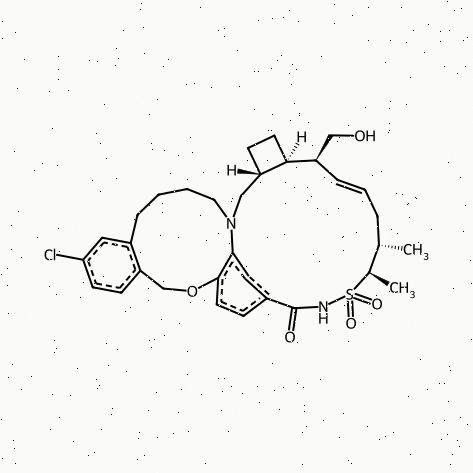 C[C@@H]1[C@@H](C)C/C=C/[C@H](CO)[C@@H]2CC[C@H]2CN2CCCCc3cc(Cl)ccc3COc3ccc(cc32)C(=O)NS1(=O)=O